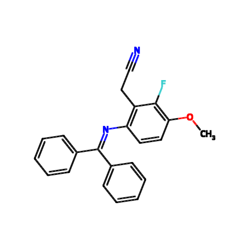 COc1ccc(N=C(c2ccccc2)c2ccccc2)c(CC#N)c1F